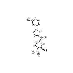 O=C(C1=CCC(c2cccc(O)c2)S1)c1ccc([N+](=O)[O-])c(O)c1